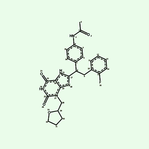 CC(=O)Nc1ccc(C(Cc2ccccc2F)c2nc3c([nH]2)c(=O)[nH]c(=O)n3CC2CCCO2)cc1